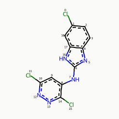 Clc1ccc2nc(Nc3cc(Cl)nnc3Cl)[nH]c2c1